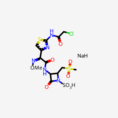 CO/N=C(\C(=O)NC1C(=O)N(S(=O)(=O)O)C1CS(C)(=O)=O)c1csc(NC(=O)CCl)n1.[NaH]